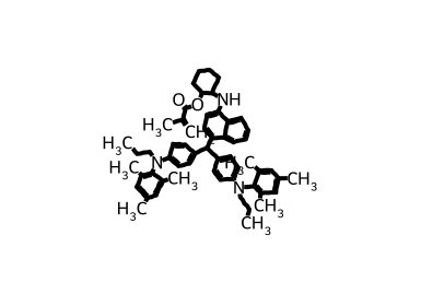 C=C(C)C(=O)OC1CCCCC1Nc1ccc(C(c2ccc(N(CCC)c3c(C)cc(C)cc3C)cc2)c2ccc(N(CCC)c3c(C)cc(C)cc3C)cc2)c2ccccc12